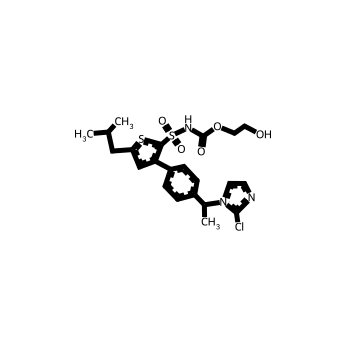 CC(C)Cc1cc(-c2ccc(C(C)n3ccnc3Cl)cc2)c(S(=O)(=O)NC(=O)OCCO)s1